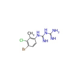 Cc1c(NC(=N)NC(=N)N)ccc(Br)c1Cl